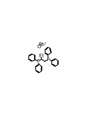 CCC(CP(c1ccccc1)c1ccccc1)P(c1ccccc1)c1ccccc1.[Cl-].[Rh+]